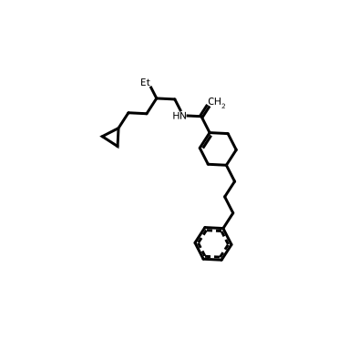 C=C(NCC(CC)CCC1CC1)C1=CCC(CCCc2ccccc2)CC1